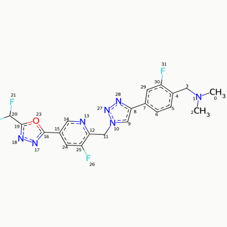 CN(C)Cc1ccc(-c2cn(Cc3ncc(-c4nnc(C(F)F)o4)cc3F)nn2)cc1F